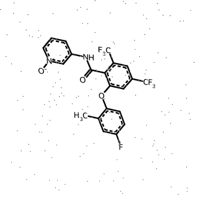 Cc1cc(F)ccc1Oc1cc(C(F)(F)F)cc(C(F)(F)F)c1C(=O)Nc1ccc[n+]([O-])c1